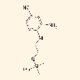 CC(C)(C)[Si](C)(C)OCCNc1ncc(C#N)cc1N